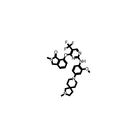 COc1cc(N2CCC3(CCN(C)C3)CC2)ccc1Nc1ncc(C(F)(F)F)c(Oc2cccc3c2C(=O)N(C)C3)n1